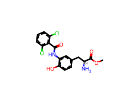 COC(=O)[C@@H](N)Cc1ccc(O)c(NC(=O)c2c(Cl)cccc2Cl)c1